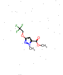 COC(=O)c1cc(OCC(F)(F)F)nn1C